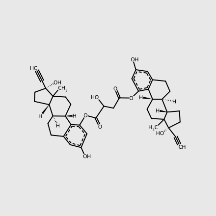 C#C[C@]1(O)CC[C@H]2[C@@H]3CCc4cc(O)cc(OC(=O)CC(O)C(=O)Oc5cc(O)cc6c5[C@H]5CCC7(C)[C@@H](CC[C@@]7(O)C#C)[C@@H]5CC6)c4[C@H]3CCC21C